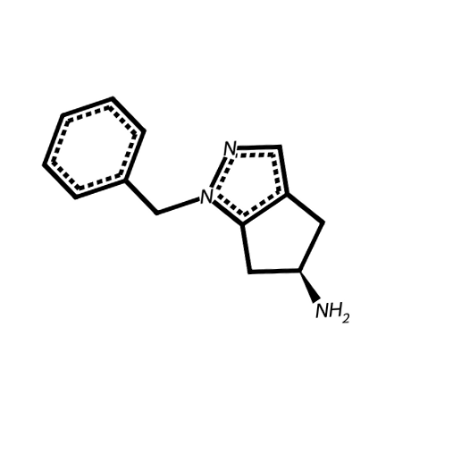 N[C@@H]1Cc2cnn(Cc3ccccc3)c2C1